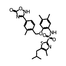 Cc1cc(NS(=O)(=O)c2nc(C)c(CC(C)C)s2)c(OCc2ccc(-c3nc(=O)o[nH]3)cc2C)cc1C